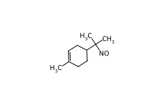 CC1=CCC(C(C)(C)N=O)CC1